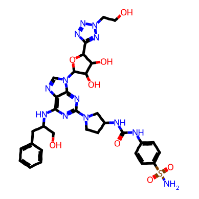 NS(=O)(=O)c1ccc(NC(=O)NC2CCN(c3nc(NC(CO)Cc4ccccc4)c4ncn(C5OC(c6nnn(CCO)n6)C(O)C5O)c4n3)C2)cc1